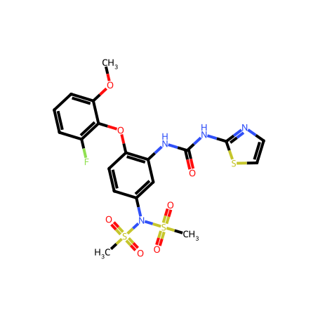 COc1cccc(F)c1Oc1ccc(N(S(C)(=O)=O)S(C)(=O)=O)cc1NC(=O)Nc1nccs1